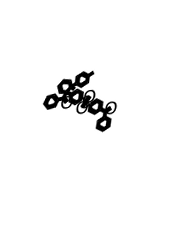 Cc1ccc(C2(C)C=CC=CC2(C(=O)c2ccccc2)c2ccc(S(=O)(=O)c3ccc(C(=O)c4ccccc4)cc3)cc2)cc1